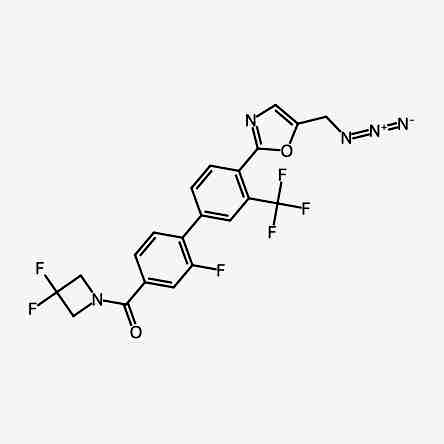 [N-]=[N+]=NCc1cnc(-c2ccc(-c3ccc(C(=O)N4CC(F)(F)C4)cc3F)cc2C(F)(F)F)o1